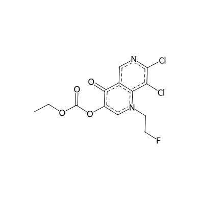 CCOC(=O)Oc1cn(CCF)c2c(Cl)c(Cl)ncc2c1=O